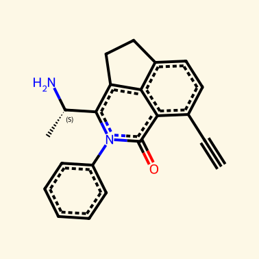 C#Cc1ccc2c3c(c([C@H](C)N)n(-c4ccccc4)c(=O)c13)CC2